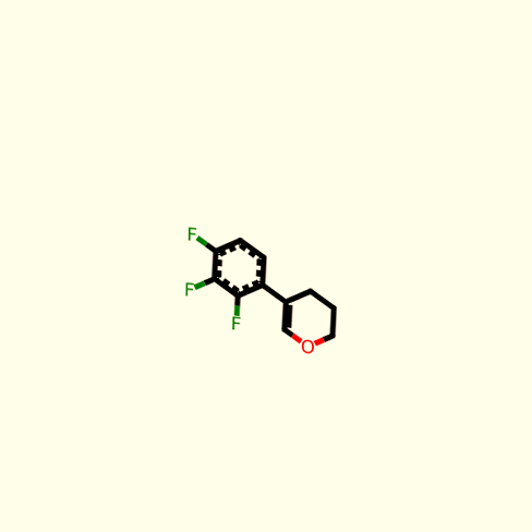 Fc1ccc(C2=COCCC2)c(F)c1F